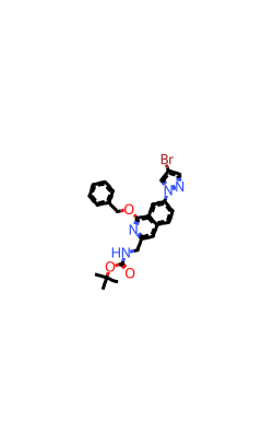 CC(C)(C)OC(=O)NCc1cc2ccc(-n3cc(Br)cn3)cc2c(OCc2ccccc2)n1